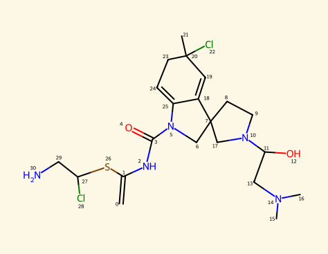 C=C(NC(=O)N1CC2(CCN(C(O)CN(C)C)C2)C2=CC(C)(Cl)CC=C21)SC(Cl)CN